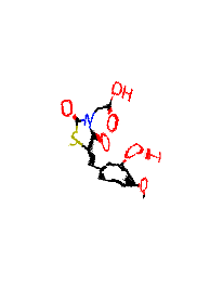 COc1ccc(C=C2SC(=O)N(CC(=O)O)C2=O)cc1O